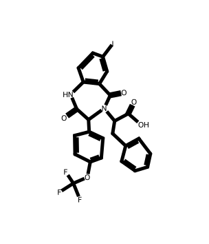 O=C(O)C(Cc1ccccc1)N1C(=O)c2cc(I)ccc2NC(=O)C1c1ccc(OC(F)(F)F)cc1